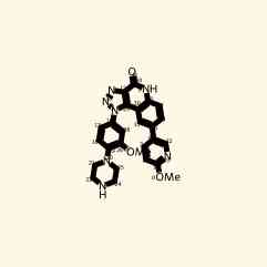 COc1ccc(-c2ccc3[nH]c(=O)c4nnn(-c5ccc(N6CCNCC6)c(OC)c5)c4c3c2)cn1